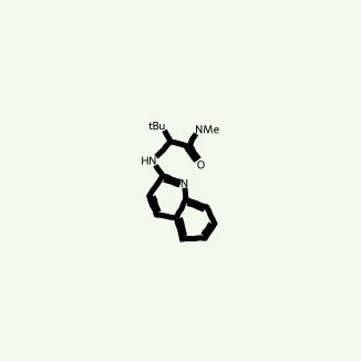 CNC(=O)C(Nc1ccc2ccccc2n1)C(C)(C)C